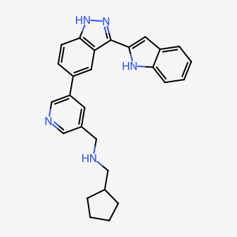 c1ccc2[nH]c(-c3n[nH]c4ccc(-c5cncc(CNCC6CCCC6)c5)cc34)cc2c1